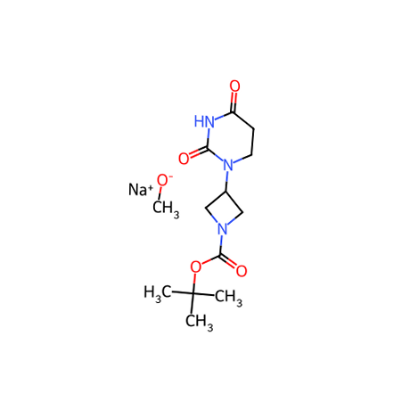 CC(C)(C)OC(=O)N1CC(N2CCC(=O)NC2=O)C1.C[O-].[Na+]